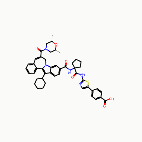 C[C@@H]1CN(C(=O)C2=Cc3ccccc3-c3c(C4CCCCC4)c4ccc(C(=O)NC5(C(=O)Nc6ncc(-c7ccc(C(=O)O)cc7)s6)CCCC5)cc4n3C2)C[C@H](C)O1